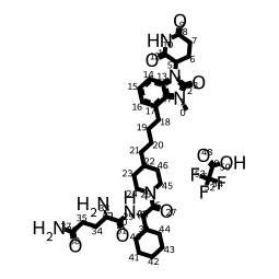 Cn1c(=O)n(C2CCC(=O)NC2=O)c2cccc(CCCCC3CCN(C(=O)[C@@H](NC(=O)[C@@H](N)CCC(N)=O)C4CCCCC4)CC3)c21.O=C(O)C(F)(F)F